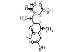 CN(CCN(C)C(CC(=O)O)C(=O)O)C(CC(=O)O)C(=O)O